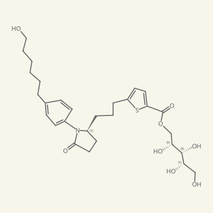 O=C(OC[C@@H](O)[C@H](O)[C@@H](O)CO)c1ccc(CCC[C@H]2CCC(=O)N2c2ccc(CCCCCCO)cc2)s1